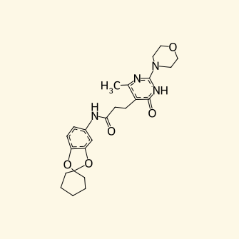 Cc1nc(N2CCOCC2)[nH]c(=O)c1CCC(=O)Nc1ccc2c(c1)OC1(CCCCC1)O2